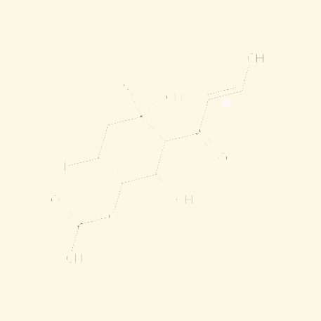 C/C=C/C(=O)C1C(C)C(OC(C)=O)C(I)CC1(C)C